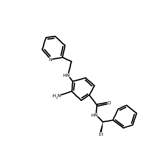 CC[C@@H](NC(=O)c1ccc(NCc2ccccn2)c(N)c1)c1ccccc1